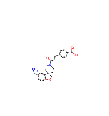 NCc1ccc2c(c1)C1(CCN(C(=O)/C=C/c3ccc(B(O)O)cc3)CC1)CO2